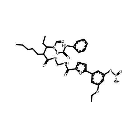 CCCCCC(C(=O)NCNC(=O)c1ccc(-c2cc(OCC)cc(O[PH](=O)O)c2)o1)C(CC)N(C=O)OC(=O)Nc1ccccc1